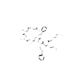 CCCCCCCCCCN(CC(N)=O)C(=O)CN(CCCCCCCCCC)C(=O)CN(CCCCCCCCCC)C(=O)CN(CCCCCCCCCC)C(=O)CN(CCc1ccccc1)C(=O)CN(CCc1ccccc1)C(=O)CN(CCN)C(=O)CNCCOC